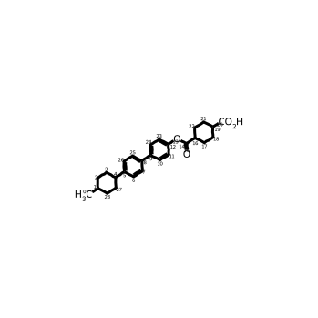 CC1CCC(c2ccc(-c3ccc(OC(=O)C4CCC(C(=O)O)CC4)cc3)cc2)CC1